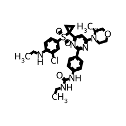 CCNC(=O)Nc1ccc(-c2nc(N3CCOC[C@@H]3C)cc(C3(S(=O)(=O)c4ccc(NCC)c(Cl)c4)CC3)n2)cc1